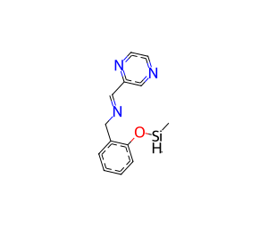 C[SiH](C)Oc1ccccc1CN=Cc1cnccn1